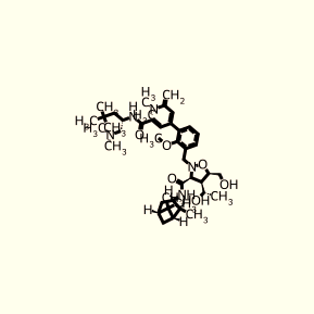 C=C(/C=C(\C=C\C(=O)N[C@H](CN(C)C)CC(C)(C)C)c1cccc(CN2O[C@@H](CO)[C@@H]([C@H](C)O)[C@H]2C(=O)N[C@H]2C[C@H]3C[C@@H]([C@@H]2C)C3(C)C)c1OC)N(C)C